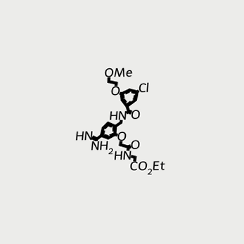 CCOC(=O)CNC(=O)COc1cc(C(=N)N)ccc1CNC(=O)c1cc(Cl)cc(OCCOC)c1